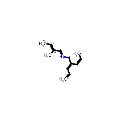 C=C/C=C(\C=C/C)C/N=C/C(C)=C/C